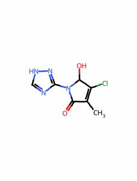 CC1=C(Cl)C(O)N(c2nc[nH]n2)C1=O